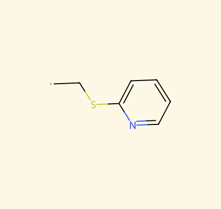 [CH2]CSc1ccccn1